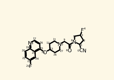 N#CC1CC(F)CN1C(=O)CN1CCC(Oc2ccnc3ccc(F)cc23)CC1